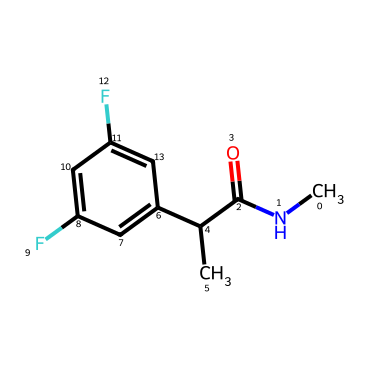 CNC(=O)C(C)c1cc(F)cc(F)c1